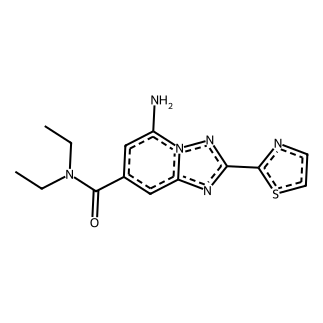 CCN(CC)C(=O)c1cc(N)n2nc(-c3nccs3)nc2c1